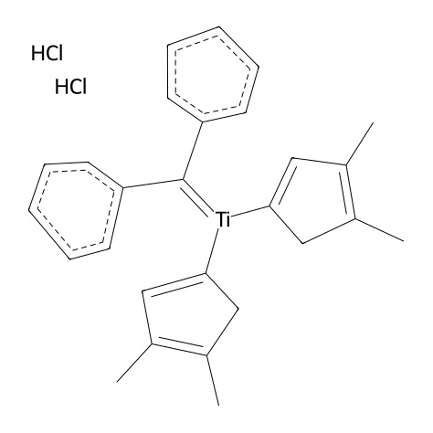 CC1=C(C)C[C]([Ti]([C]2=CC(C)=C(C)C2)=[C](c2ccccc2)c2ccccc2)=C1.Cl.Cl